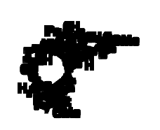 CCn1c(-c2cnccc2COC)c2c3cc(ccc31)-c1cc(O)cc(c1)C[C@H](NC(=O)C(C(C)C)N(C)C(=O)CN(C)C(=O)[C@H]1N[C@H]1c1ccc(OC)cc1)C(=O)N1CCC[C@H](N1)C(=O)OCC(C)(C)C2